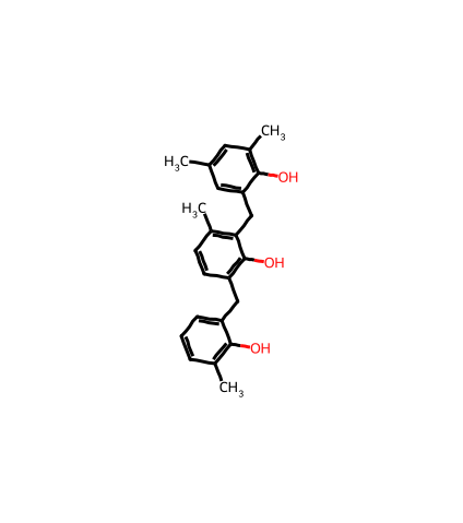 Cc1cc(C)c(O)c(Cc2c(C)ccc(Cc3cccc(C)c3O)c2O)c1